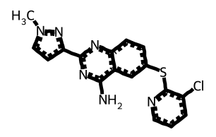 Cn1ccc(-c2nc(N)c3cc(Sc4ncccc4Cl)ccc3n2)n1